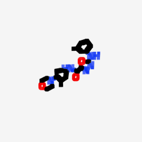 Cc1cccc(Nc2nnc(C(=O)Nc3ccc(N4CCOCC4)c(C)c3)o2)c1